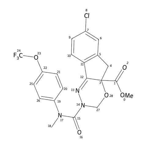 COC(=O)C12Cc3cc(Cl)ccc3C1=NN(C(=O)N(C)c1ccc(OC(F)(F)F)cc1)CO2